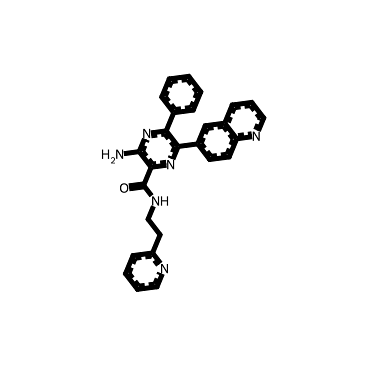 Nc1nc(-c2ccccc2)c(-c2ccc3ncccc3c2)nc1C(=O)NCCc1ccccn1